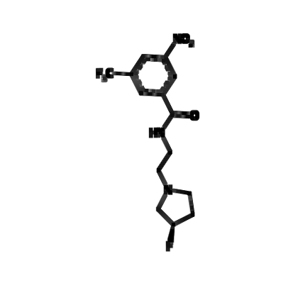 O=C(NCCN1CC[C@@H](F)C1)c1cc([N+](=O)[O-])cc(C(F)(F)F)c1